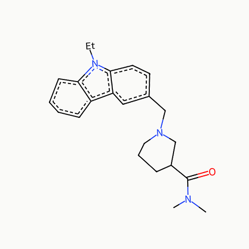 CCn1c2ccccc2c2cc(CN3CCCC(C(=O)N(C)C)C3)ccc21